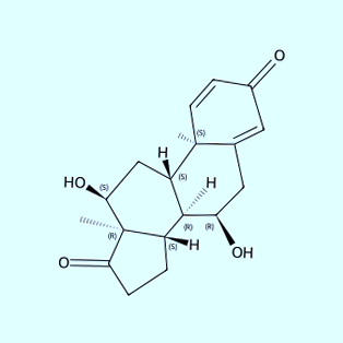 C[C@@]12C(=O)CC[C@H]1[C@@H]1[C@H](O)CC3=CC(=O)C=C[C@]3(C)[C@H]1C[C@@H]2O